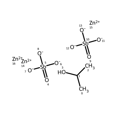 CC(C)O.[O]=[Sb]([O-])([O-])[O-].[O]=[Sb]([O-])([O-])[O-].[Zn+2].[Zn+2].[Zn+2]